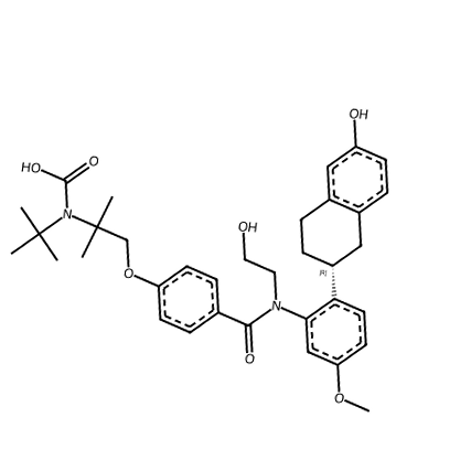 COc1ccc([C@@H]2CCc3cc(O)ccc3C2)c(N(CCO)C(=O)c2ccc(OCC(C)(C)N(C(=O)O)C(C)(C)C)cc2)c1